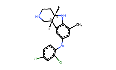 Cc1cc(Nc2ccc(Cl)cc2Cl)cc2c1N[C@H]1CCNC[C@@H]21